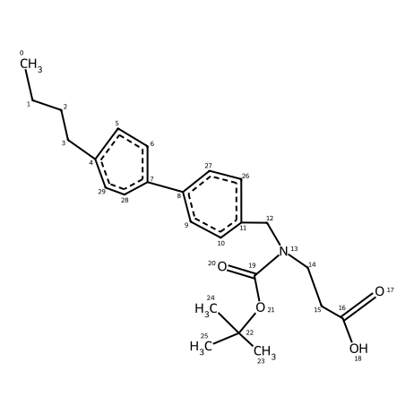 CCCCc1ccc(-c2ccc(CN(CCC(=O)O)C(=O)OC(C)(C)C)cc2)cc1